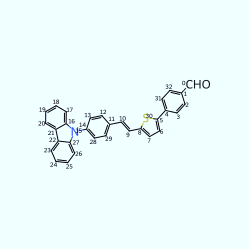 O=Cc1ccc(-c2ccc(C=Cc3ccc(-n4c5ccccc5c5ccccc54)cc3)s2)cc1